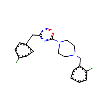 Clc1ccc(Cc2noc(N3CCN(Cc4ccccc4Cl)CC3)n2)cc1